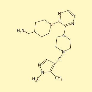 Cc1c(CN2CCN(c3nccnc3N3CCC(CN)CC3)CC2)cnn1C